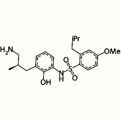 COc1ccc(S(=O)(=O)Nc2cccc(C[C@@H](C)CN)c2O)c(CC(C)C)c1